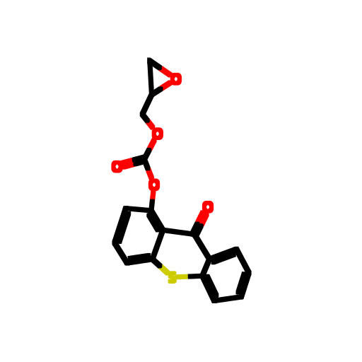 O=C(OCC1CO1)Oc1cccc2sc3ccccc3c(=O)c12